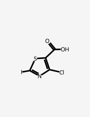 O=C(O)c1sc(I)nc1Cl